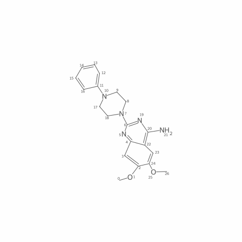 COc1cc2nc(N3CCN(c4ccccc4)CC3)nc(N)c2cc1OC